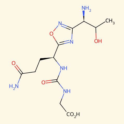 CC(O)[C@H](N)c1noc([C@H](CCC(N)=O)NC(=O)NCC(=O)O)n1